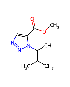 COC(=O)c1cnnn1C(C)C(C)C